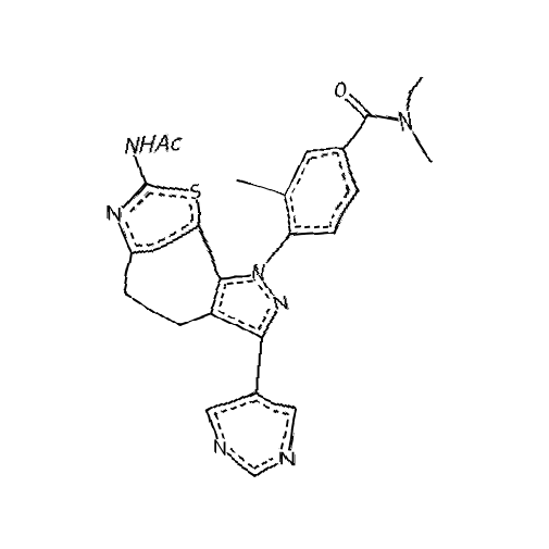 CC(=O)Nc1nc2c(s1)-c1c(c(-c3cncnc3)nn1-c1ccc(C(=O)N(C)C)cc1C)CC2